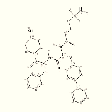 CNC(C)(C)CC=CC(=O)N(C)[C@H](Cc1ccc(-c2ccccc2)cc1)C(=O)N(C)[C@H](Cc1ccccc1)C(=O)N1CCC(O)CC1